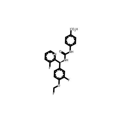 O=C(Nc1ccc(C(=O)O)cc1)N[C@@H](c1ccc(OCF)c(F)c1)c1ncccc1F